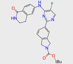 CC(C)(C)OC(=O)N1Cc2ccc(-c3ncc(F)c(Nc4ccc5c(c4)CCNC5=O)n3)cc2C1